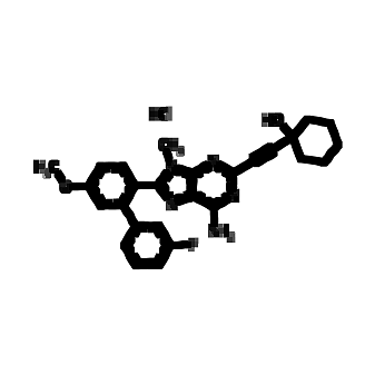 COc1ccc(-c2nc3c(N)nc(C#CC4(O)CCCCC4)nc3n2C)c(-c2cccc(F)c2)c1.Cl